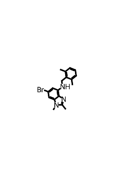 Cc1cccc(C)c1CNc1cc(Br)cc2c1nc(C)n2C